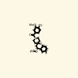 CCc1ccc(C(=O)N2CCC3(CC2)C[C@@H](OC(C)C)c2cc(F)ccc2O3)cc1OC